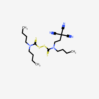 CCCCN(CCCC)C(=S)SSC(=S)N(CCCC)CCC(C#N)(C#N)C#N